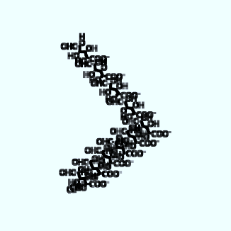 O=C[C@H](O)[C@@H](O)[C@@H](O)[C@H](O)C(=O)[O-].O=C[C@H](O)[C@@H](O)[C@@H](O)[C@H](O)C(=O)[O-].O=C[C@H](O)[C@@H](O)[C@@H](O)[C@H](O)C(=O)[O-].O=C[C@H](O)[C@@H](O)[C@@H](O)[C@H](O)C(=O)[O-].O=C[C@H](O)[C@@H](O)[C@@H](O)[C@H](O)C(=O)[O-].O=C[C@H](O)[C@@H](O)[C@@H](O)[C@H](O)C(=O)[O-].O=C[C@H](O)[C@@H](O)[C@@H](O)[C@H](O)C(=O)[O-].O=C[C@H](O)[C@@H](O)[C@@H](O)[C@H](O)C(=O)[O-].O=C[C@H](O)[C@@H](O)[C@@H](O)[C@H](O)C(=O)[O-].O=C[C@H](O)[C@@H](O)[C@@H](O)[C@H](O)C(=O)[O-].[Co+2].[Cu+2].[Fe+2]